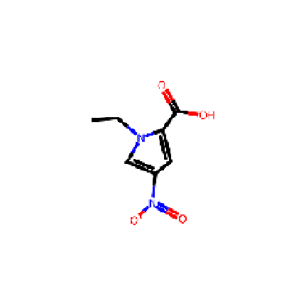 CCn1cc([N+](=O)[O-])cc1C(=O)O